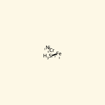 [Cr].[Ni].[SiH3][Fe]